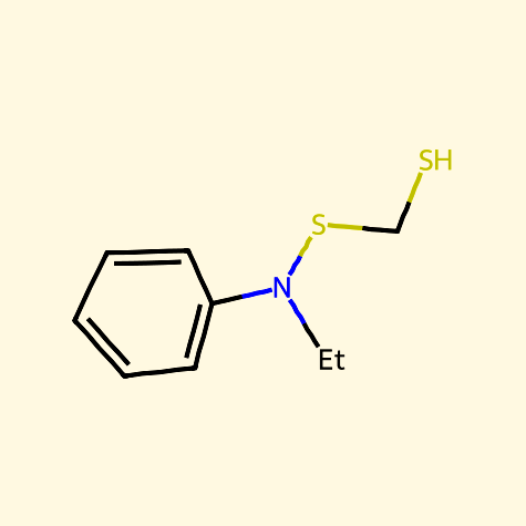 CCN(SCS)c1ccccc1